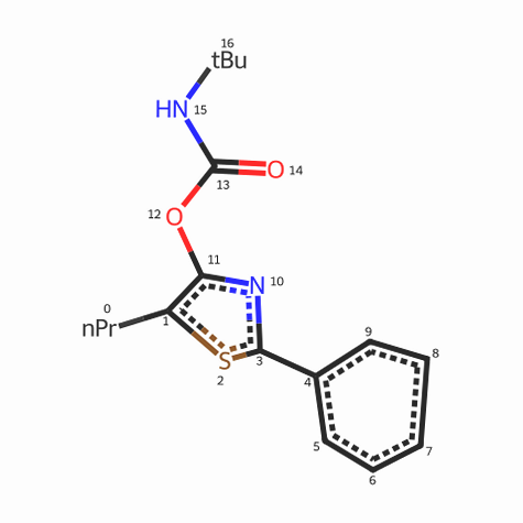 CCCc1sc(-c2ccccc2)nc1OC(=O)NC(C)(C)C